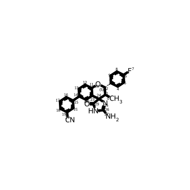 CC1[C@@H](c2ccc(F)cc2)Oc2ccc(-c3cccc(C#N)c3)cc2C12N=C(N)NC2=O